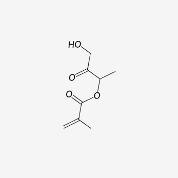 C=C(C)C(=O)OC(C)C(=O)CO